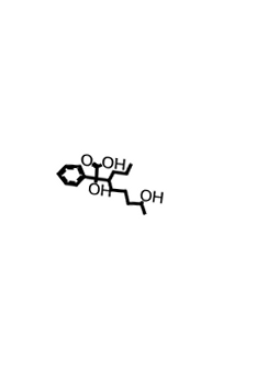 CCCC(CCCC(C)O)C(O)(C(=O)O)c1ccccc1